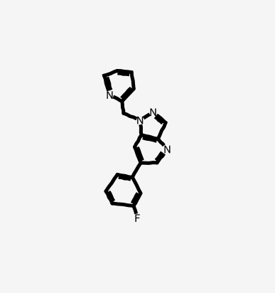 Fc1cccc(-c2cnc3cnn(Cc4ccccn4)c3c2)c1